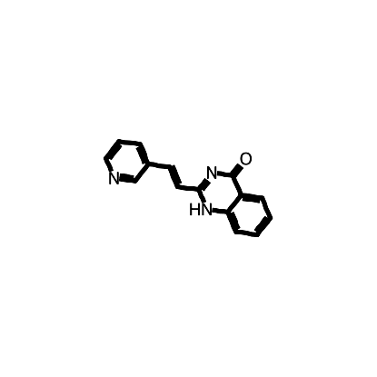 O=c1nc(/C=C/c2cccnc2)[nH]c2ccccc12